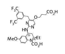 CC[C@@H]1C[C@H](Nc2ncc(OCCCC(=O)O)c(Cc3cc(C(F)(F)F)cc(C(F)(F)F)c3)n2)c2cc(OC)ccc2N1C(=O)O